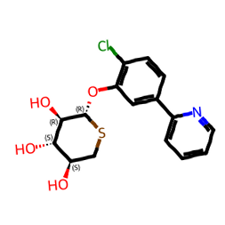 O[C@@H]1[C@@H](O)[C@H](Oc2cc(-c3ccccn3)ccc2Cl)SC[C@H]1O